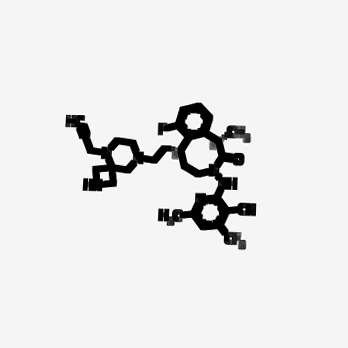 C#CCN1CCN(CC[C@H]2CCN(Nc3nc(C)cc(C(F)(F)F)c3C#N)C(=O)[C@@H](C)c3cccc(F)c32)CC12CNC2